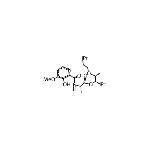 COc1ccnc(C(=O)N[C@@H](C)C(=O)O[C@H](C(C)C)[C@H](C)OCCC(C)C)c1O